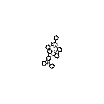 c1ccc(-c2nc(-c3ccccc3)nc(-c3cccc4c3oc3c(-n5c6ccccc6c6cc7c8ccccc8n(-c8ccccc8)c7cc65)cccc34)n2)cc1